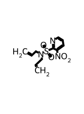 C=CCN(CC=C)S(=O)(=O)c1ncccc1[N+](=O)[O-]